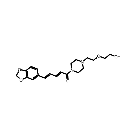 O=C(/C=C/C=C/c1ccc2c(c1)OCO2)N1CCN(CCOCCO)CC1